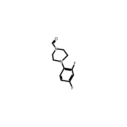 O=[C]N1CCN(c2ccc(F)cc2F)CC1